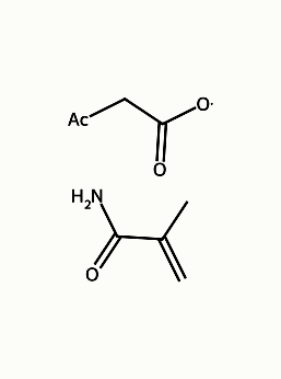 C=C(C)C(N)=O.CC(=O)CC([O])=O